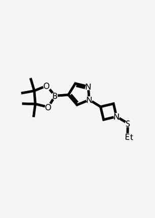 CCSN1CC(n2cc(B3OC(C)(C)C(C)(C)O3)cn2)C1